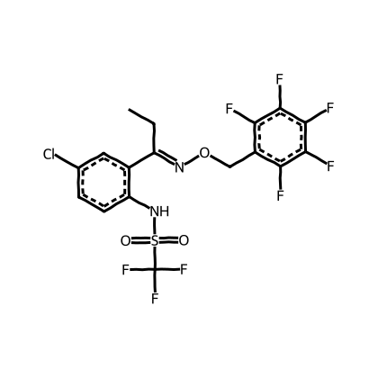 CC/C(=N\OCc1c(F)c(F)c(F)c(F)c1F)c1cc(Cl)ccc1NS(=O)(=O)C(F)(F)F